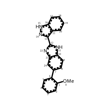 COc1ccccc1-c1ccc2[nH]c(-c3n[nH]c4ccccc34)nc2c1